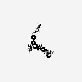 CCCCOCCOc1ccc(-c2ccc3c(c2)C=C(C(=O)Nc2ccc(CS(=O)(=O)c4cccc[n+]4[O-])cc2)CCN3C(=O)C(F)(F)F)cc1